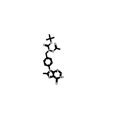 CC(=O)ON(Cc1ccc(-n2c(C)nc3c(=O)[nH]cnc32)cc1)C(=O)OC(C)(C)C